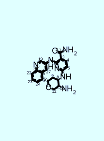 NC(=O)c1ccc(N[C@@H]2CCOC[C@@H]2N)nc1Nc1cnc2ccccc2c1